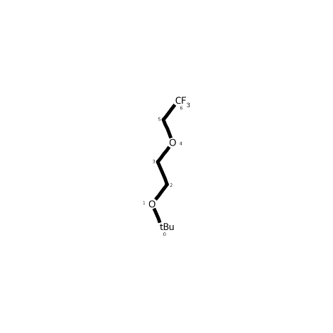 CC(C)(C)OCCOCC(F)(F)F